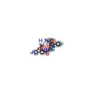 C=N/C=C\C(=C(C)C)c1ccc(C(=O)NCC(O)(c2cc3c(c(-c4ccc(F)cc4)n2)OC[C@]3(C)C(N)=O)C(F)(F)F)cc1OC1CC1